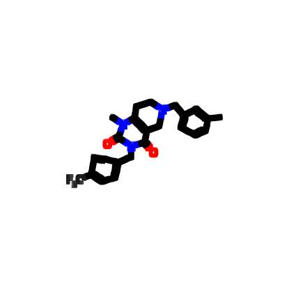 Cc1cccc(CN2CCc3c(c(=O)n(Cc4ccc(C(F)(F)F)cc4)c(=O)n3C)C2)c1